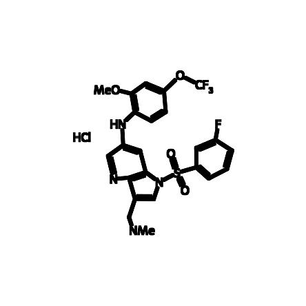 CNCc1cn(S(=O)(=O)c2cccc(F)c2)c2cc(Nc3ccc(OC(F)(F)F)cc3OC)cnc12.Cl